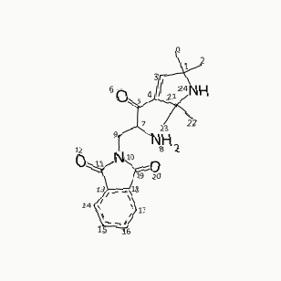 CC1(C)C=C(C(=O)C(N)CN2C(=O)c3ccccc3C2=O)C(C)(C)N1